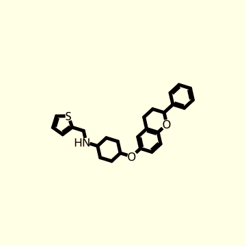 c1ccc(C2CCc3cc(OC4CCC(NCc5cccs5)CC4)ccc3O2)cc1